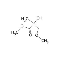 COCC(C)(O)C(=O)OC